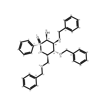 O=[P@]1(c2ccccc2)O[C@H](COCc2ccccc2)[C@@H](OCc2ccccc2)[C@H](OCc2ccccc2)[C@@H]1O